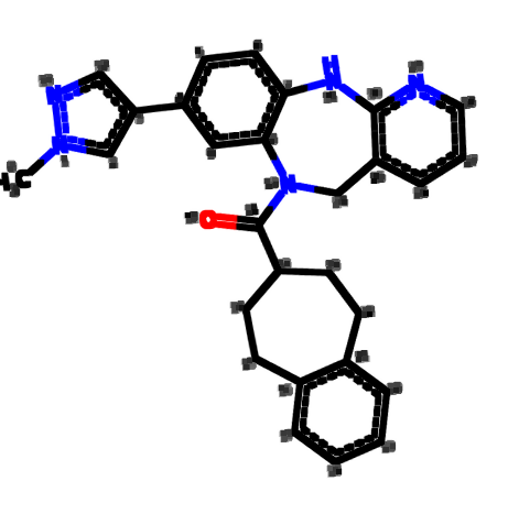 Cn1cc(-c2ccc3c(c2)N(C(=O)C2CCc4ccccc4CC2)Cc2cccnc2N3)cn1